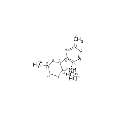 Cc1ccc2c(c1)C1CN(C)CCC1N2.Cl.Cl